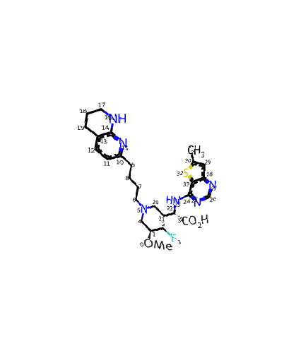 CO[C@H](CF)CN(CCCCc1ccc2c(n1)NCCC2)CC[C@H](Nc1ncnc2cc(C)sc12)C(=O)O